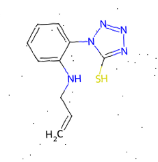 C=CCNc1ccccc1-n1nnnc1S